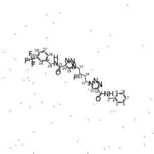 O=C(NCc1ccccc1)c1cn(CCC(F)Cn2cc(C(=O)NCc3cccc(C(F)(F)F)c3)nn2)nn1